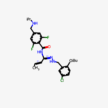 C/C=C/C(=N\NCc1cc(Cl)ccc1OCC(C)C)NC(=O)c1c(F)cc(CNC(C)C)cc1F